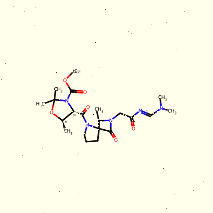 CC1N(CC(=O)/N=C/N(C)C)C(=O)C12CCCN2C(=O)[C@@H]1[C@@H](C)OC(C)(C)N1C(=O)OC(C)(C)C